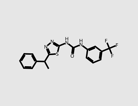 CC(c1ccccc1)c1nnc(NC(=O)Nc2cccc(C(F)(F)F)c2)s1